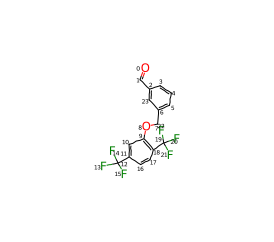 O=Cc1cccc(COc2cc(C(F)(F)F)ccc2C(F)(F)F)c1